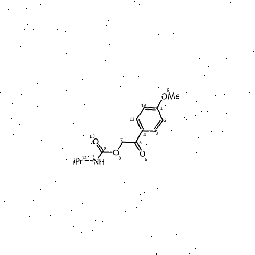 COc1ccc(C(=O)COC(=O)NC(C)C)cc1